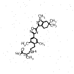 Cc1cc(-c2noc(-c3nn(C)c4c3CCC(C)(C)C4)n2)cc(C)c1CCN[C@@H](C)C(=O)O